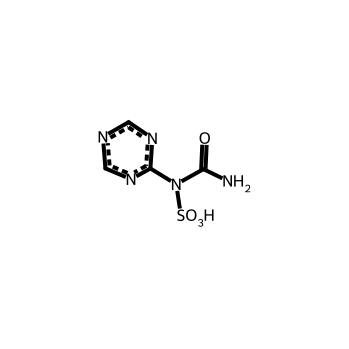 NC(=O)N(c1ncncn1)S(=O)(=O)O